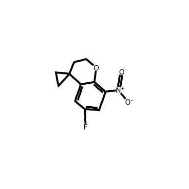 O=[N+]([O-])c1cc(F)cc2c1OCCC21CC1